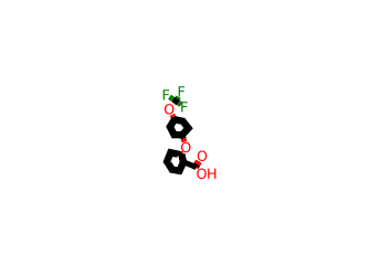 O=C(O)c1ccccc1Oc1ccc(OC(F)(F)F)cc1